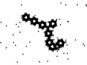 C1=CC(N(c2ccc(-c3ccc(-c4ccccc4)cc3)cc2)c2ccc(-c3ccc4ccc5oc6ccccc6c5c4c3)cc2)=CCC1